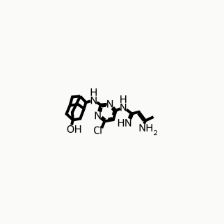 C/C(N)=C/C(=N)Nc1cc(Cl)nc(NC2C3CC4CC2CC(O)(C4)C3)n1